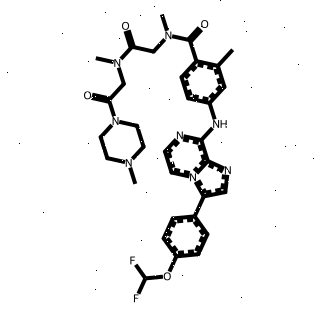 Cc1cc(Nc2nccn3c(-c4ccc(OC(F)F)cc4)cnc23)ccc1C(=O)N(C)CC(=O)N(C)CC(=O)N1CCN(C)CC1